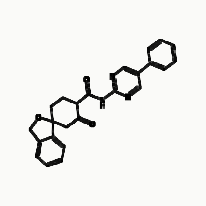 O=C1CC2(CCC1C(=O)Nc1ncc(-c3ccccc3)cn1)OCc1ccccc12